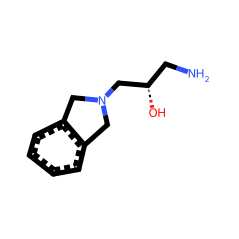 NC[C@H](O)CN1Cc2ccccc2C1